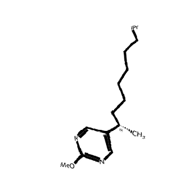 COc1ncc([C@@H](C)CCCCCCC(C)C)cn1